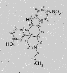 C=CCN1CCC2(c3cccc(O)c3)Cc3[nH]c4ccc([N+](=O)[O-])cc4c3CC2C1